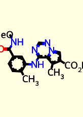 CCOC(=O)c1cn2ncnc(Nc3cc(C(=O)NOC)ccc3C)c2c1C